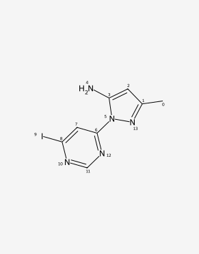 Cc1cc(N)n(-c2cc(I)ncn2)n1